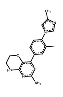 Cc1cn(-c2ccc(-c3nc(N)nc4c3OCCN4)cc2F)cn1